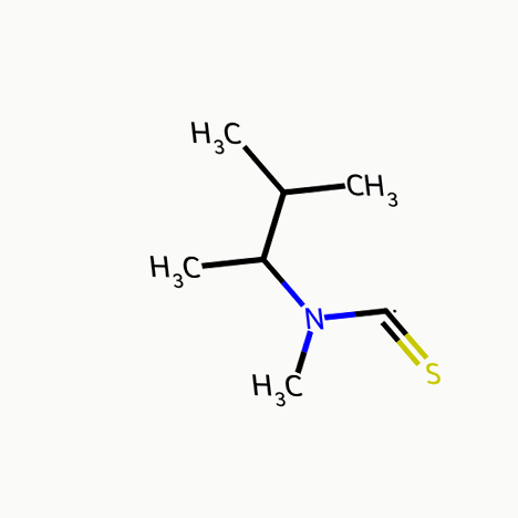 CC(C)C(C)N(C)[C]=S